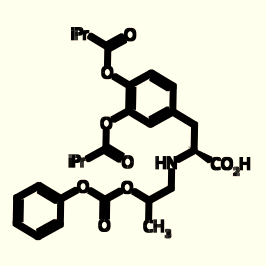 CC(CN[C@@H](Cc1ccc(OC(=O)C(C)C)c(OC(=O)C(C)C)c1)C(=O)O)OC(=O)Oc1ccccc1